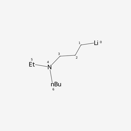 [Li][CH2]CCN(CC)CCCC